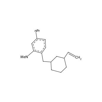 C=CC1CCCC(Cc2ccc(CCC)cc2NC)C1